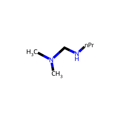 CCCNCN(C)C